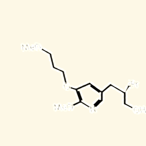 COCCCOc1cc(C[C@H](CO)C(C)C)cnc1OC